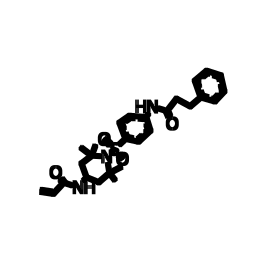 C=CC(=O)NC1CC(C)(C)N(S(=O)(=O)c2ccc(NC(=O)CCc3ccccc3)cc2)C(C)(C)C1